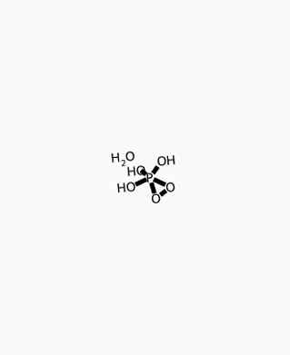 O.OP1(O)(O)OO1